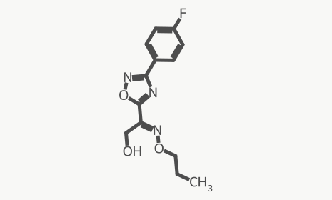 CCCON=C(CO)c1nc(-c2ccc(F)cc2)no1